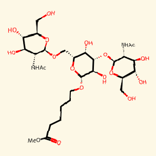 COC(=O)CCCCCO[C@@H]1O[C@H](CO[C@@H]2O[C@H](CO)[C@@H](O)[C@H](O)[C@H]2NC(C)=O)[C@H](O)[C@H](O[C@@H]2O[C@H](CO)[C@@H](O)[C@H](O)[C@H]2NC(C)=O)[C@H]1O